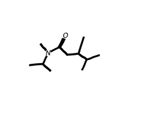 CC(C)C(C)CC(=O)N(C)C(C)C